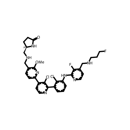 COc1nc(-c2ccnc(-c3cccc(Nc4nccc(CNCCCF)c4F)c3Cl)c2Cl)ccc1CNC[C@H]1CCC(=O)N1